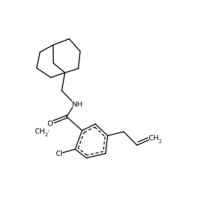 C=CCc1ccc(Cl)c(C(=O)NCC23CCCC(CCC2)C3)c1.[CH2]